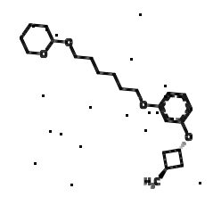 C[C@H]1C[C@H](Oc2cccc(OCCCCCCOC3CCCCO3)c2)C1